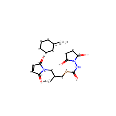 CCCCCCC(CSC(=O)NN1C(=O)CCC1=O)CN1C(=O)C=CC1=O.O=C(O)C1CCCCC1